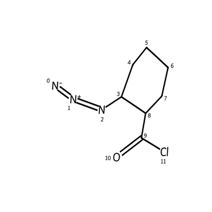 [N-]=[N+]=NC1CCCCC1C(=O)Cl